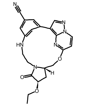 CCO[C@@H]1C[C@H]2COc3ccn4ncc(c4n3)-c3cc(C#N)cc(c3)NCCN2C1=O